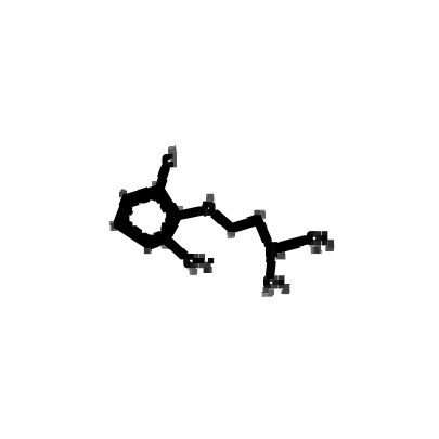 [CH2]c1cccc(Cl)c1OCCN(C)C